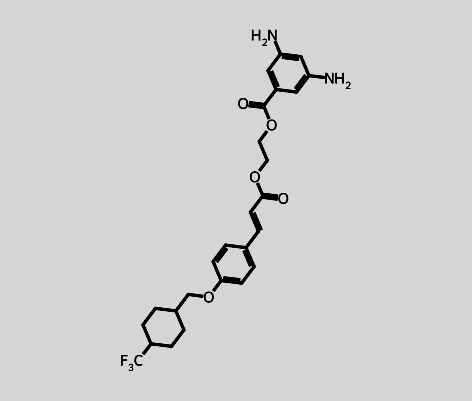 Nc1cc(N)cc(C(=O)OCCOC(=O)C=Cc2ccc(OCC3CCC(C(F)(F)F)CC3)cc2)c1